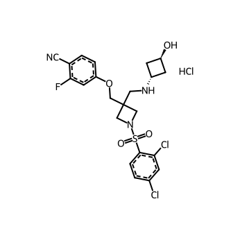 Cl.N#Cc1ccc(OCC2(CN[C@H]3C[C@H](O)C3)CN(S(=O)(=O)c3ccc(Cl)cc3Cl)C2)cc1F